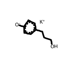 [K+].[O-]c1ccc(CCCO)cc1